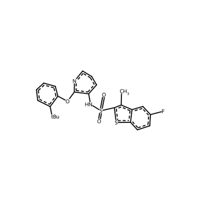 Cc1c(S(=O)(=O)Nc2cccnc2Oc2ccccc2C(C)(C)C)sc2ccc(F)cc12